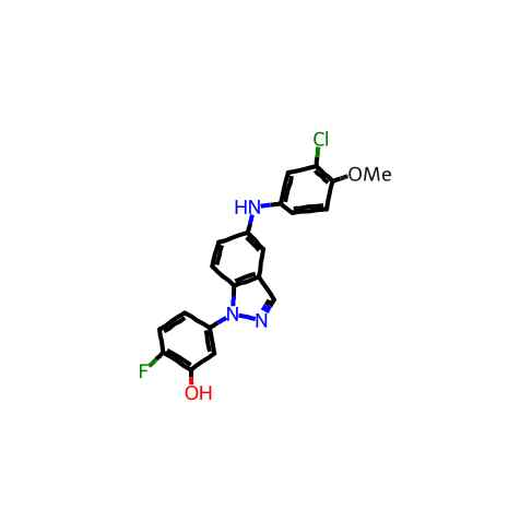 COc1ccc(Nc2ccc3c(cnn3-c3ccc(F)c(O)c3)c2)cc1Cl